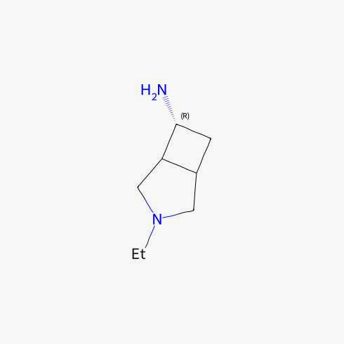 CCN1CC2C[C@@H](N)C2C1